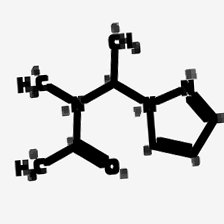 CC(=O)N(C)C(C)n1cccn1